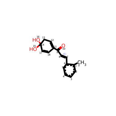 Cc1ccccc1/C=C/C(=O)C1=CCC(O)(O)C=C1